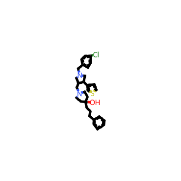 OC1(CCCc2ccccc2)CCN(CC2CN(Cc3ccc(Cl)cc3)CC2c2ccsc2)CC1